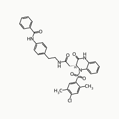 Cc1cc(S(=O)(=O)N2c3ccccc3NC(=O)[C@H]2CC(=O)NCCc2ccc(NC(=O)c3ccccc3)cc2)c(C)cc1Cl